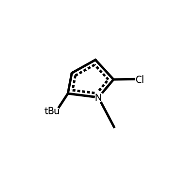 Cn1c(Cl)ccc1C(C)(C)C